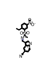 CCc1ccc([N+](=O)[O-])cc1S(=O)(=O)N(C)/N=C\c1cnn2ccc(C#N)cc12